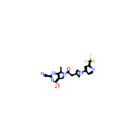 COc1nc(C#N)nc2c1CN(C(=O)CC1CN(c3ccnc(C(F)(F)F)c3)C1)C2C